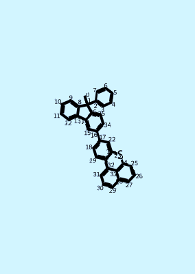 CC1(c2ccccc2)c2ccccc2-c2cc(-c3ccc4c(c3)Sc3cccc5cccc-4c35)ccc21